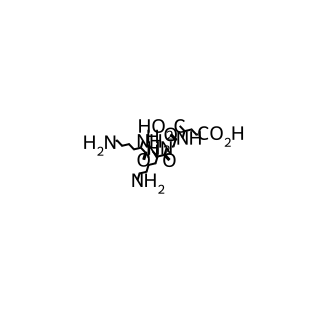 NCCCCC(N)C(=O)NC(CCCCN)C(=O)NCC(=O)NC(CCC(=O)O)C(=O)O